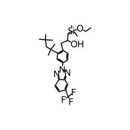 CCO[Si](C)(C)CC(O)Cc1ccc(-n2nc3ccc(C(F)(F)F)cc3n2)cc1C(C)(C)CC(C)(C)C